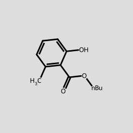 CCCCOC(=O)c1c(C)cccc1O